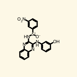 O=[N+]([O-])c1cccc([S+]([O-])Nc2nc3ccccc3nc2Nc2cccc(O)c2)c1